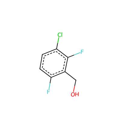 OCc1c(F)ccc(Cl)c1F